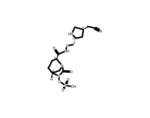 N#CC[C@@H]1CN[C@@H](CONC(=O)[C@@H]2CC[C@@H]3CN2C(=O)N3OS(=O)(=O)O)C1